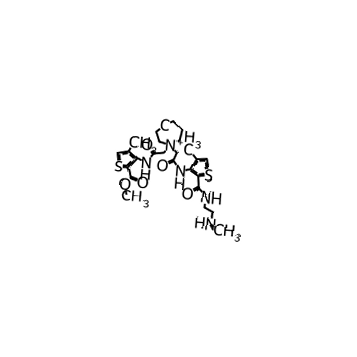 CNCCNC(=O)c1scc(C)c1NC(=O)C[N+]1(CC(=O)Nc2c(C)csc2C(=O)OC)CCCCCC1